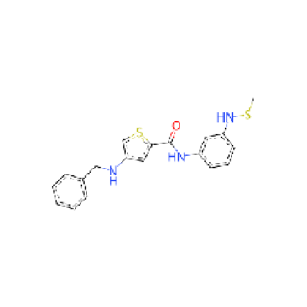 CSNc1cccc(NC(=O)c2cc(NCc3ccccc3)cs2)c1